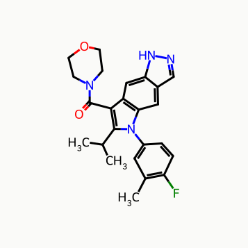 Cc1cc(-n2c(C(C)C)c(C(=O)N3CCOCC3)c3cc4[nH]ncc4cc32)ccc1F